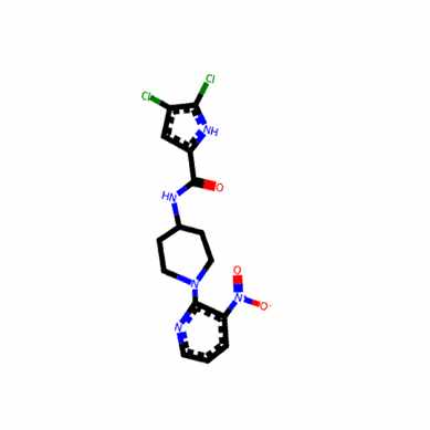 O=C(NC1CCN(c2ncccc2[N+](=O)[O-])CC1)c1cc(Cl)c(Cl)[nH]1